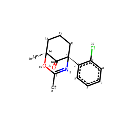 CCC1=N[C@]2(c3ccccc3Cl)CCC[C@H](O1)C2=O